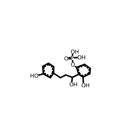 O=P(O)(O)Oc1cccc(O)c1C(O)CCc1cccc(O)c1